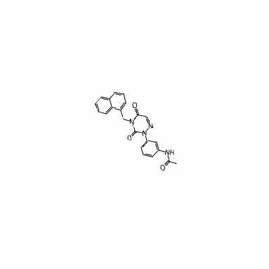 CC(=O)Nc1cccc(-n2ncc(=O)n(Cc3cccc4ccccc34)c2=O)c1